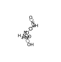 Nc1ncc(-c2ccc([C@@]34C[C@@H]3CN(C3CCOCC3)C4)cc2)cc1C(=O)NC1CCC(O)CC1